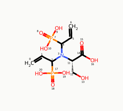 C=CC(N(C(C=C)P(=O)(O)O)[C@@H](CO)C(=O)O)P(=O)(O)O